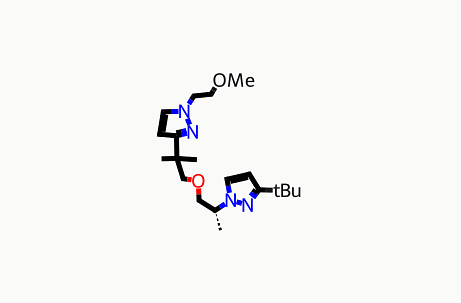 COCCn1ccc(C(C)(C)COC[C@@H](C)n2ccc(C(C)(C)C)n2)n1